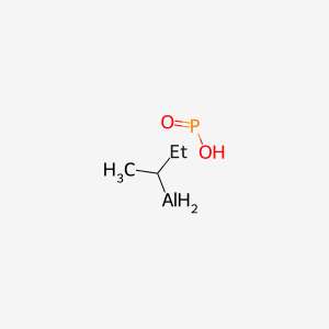 CC[CH](C)[AlH2].O=PO